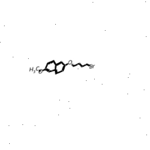 COc1ccc2cc(OCCCCBr)ccc2c1